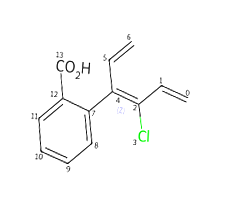 C=C/C(Cl)=C(\C=C)c1ccccc1C(=O)O